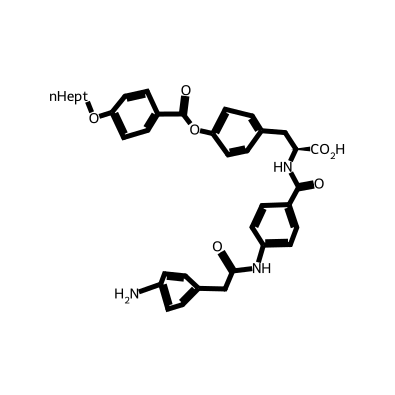 CCCCCCCOc1ccc(C(=O)Oc2ccc(C[C@H](NC(=O)c3ccc(NC(=O)Cc4ccc(N)cc4)cc3)C(=O)O)cc2)cc1